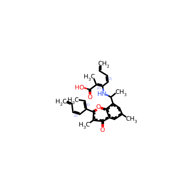 C=C/C=C\C(NC(C)c1cc(C)cc2c(=O)c(C)c(C(/C=C\C=C)=C/C)oc12)=C(/C)C(=O)O